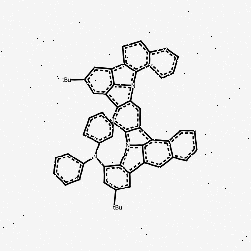 CC(C)(C)c1cc(N(c2ccccc2)c2ccccc2)c2c(c1)c1cc3ccccc3c3c4cc5c(nc4n2c13)c1cc(C(C)(C)C)cc2c3ccc4ccccc4c3n5c21